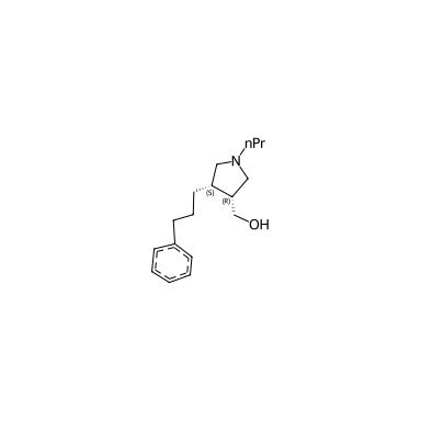 CCCN1C[C@@H](CCCc2ccccc2)[C@@H](CO)C1